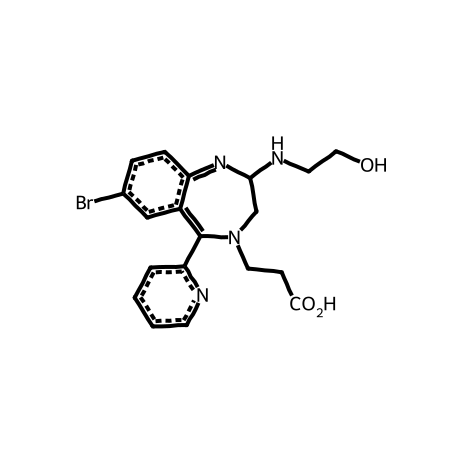 O=C(O)CCN1CC(NCCO)N=c2ccc(Br)cc2=C1c1ccccn1